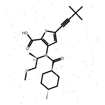 COC[C@@H](C)N(c1cc(C#CC(C)(C)C)sc1C(=O)O)C(=O)[C@H]1CC[C@H](C)CC1